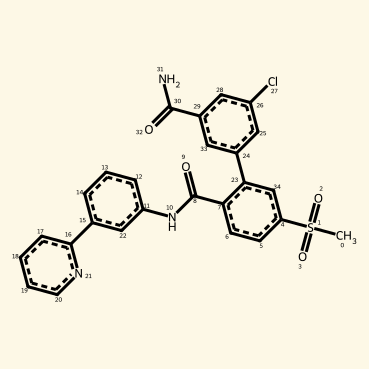 CS(=O)(=O)c1ccc(C(=O)Nc2cccc(-c3ccccn3)c2)c(-c2cc(Cl)cc(C(N)=O)c2)c1